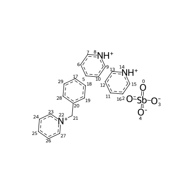 [O]=[Sb]([O-])([O-])[O-].c1cc[nH+]cc1.c1cc[nH+]cc1.c1ccc(C[n+]2ccccc2)cc1